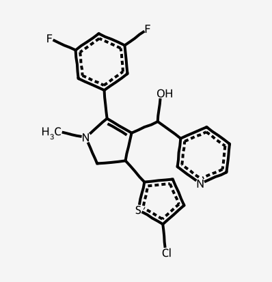 CN1CC(c2ccc(Cl)s2)C(C(O)c2cccnc2)=C1c1cc(F)cc(F)c1